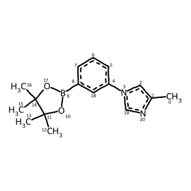 Cc1cn(-c2cccc(B3OC(C)(C)C(C)(C)O3)c2)cn1